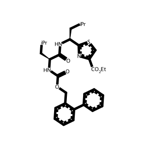 CCOC(=O)c1csc([C@H](CC(C)C)NC(=O)[C@H](CC(C)C)NC(=O)OCc2ccccc2-c2ccccc2)n1